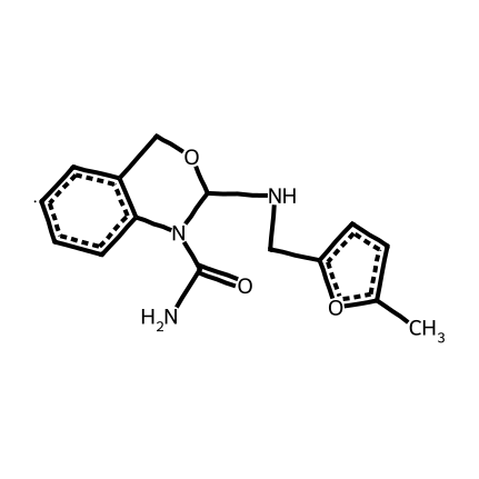 Cc1ccc(CNC2OCc3c[c]ccc3N2C(N)=O)o1